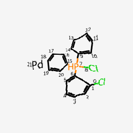 Clc1ccccc1[PH](Cl)(c1ccccc1)c1ccccc1.[Pd]